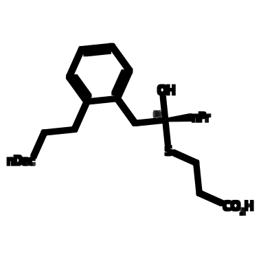 CCCCCCCCCCCCc1ccccc1C[C@@](O)(CCC)SCCC(=O)O